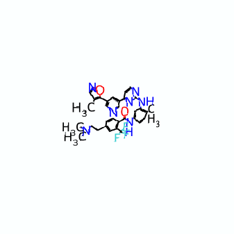 Cc1ccc(NC(=O)c2ccc(CCN(C)C)cc2C(F)(F)F)cc1Nc1nccc(-c2cncc(-c3oncc3C)c2)n1